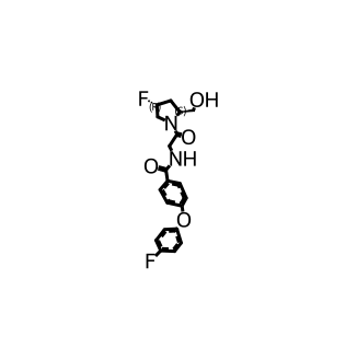 O=C(NCC(=O)N1C[C@H](F)C[C@H]1CO)c1ccc(Oc2ccc(F)cc2)cc1